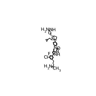 C[C@H](N)CCCc1cc(Cl)c(F)c(-c2cc3cn(-c4ccc([C@@H]5CCC[C@@H](CCOC(=N)N)N5CCC5CC5)cc4)c(=O)nc3[nH]2)c1